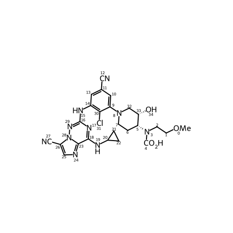 COCCN(C(=O)O)[C@@H]1CCN(c2cc(C#N)cc(Nc3nc(NC4CC4)c4ncc(C#N)n4n3)c2Cl)C[C@@H]1O